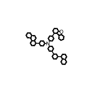 c1cc(-c2ccc(N(c3ccc(-c4cccc5c4ccc4ccccc45)cc3)c3ccc(-c4cccc5oc6ccccc6c45)cc3)cc2)cc(-c2cccc3ccccc23)c1